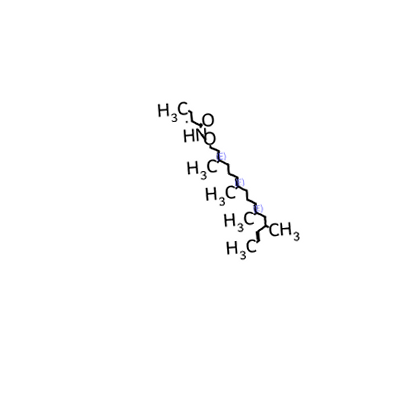 CC=CC(C)C/C(C)=C/CC/C(C)=C/CC/C(C)=C/CONC(=O)[CH]CC